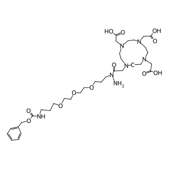 NN(CCCOCCOCCOCCCNC(=O)OCc1ccccc1)C(=O)CN1CCN(CC(=O)O)CCN(CC(=O)O)CCN(CC(=O)O)CC1